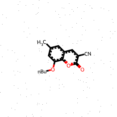 CCCCOc1cc(C)cc2cc(C#N)c(=O)oc12